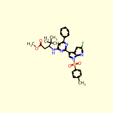 COC(=O)CC(Nc1cc(-c2ccccc2)nc(-c2cn(S(=O)(=O)c3ccc(C)cc3)c3ncc(F)cc23)n1)C(C)(C)C